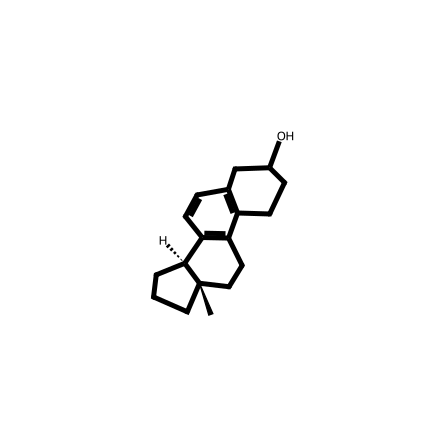 C[C@@]12CCC[C@H]1c1ccc3c(c1CC2)CCC(O)C3